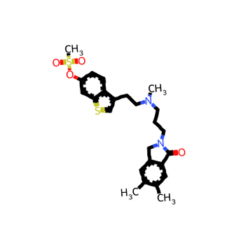 Cc1cc2c(cc1C)C(=O)N(CCCN(C)CCc1csc3cc(OS(C)(=O)=O)ccc13)C2